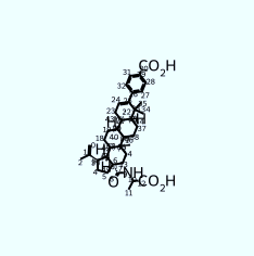 C=C(C)[C@@H]1CC[C@]2(C(=O)NC(C)C(=O)O)CC[C@]3(C)[C@H](CC[C@@H]4[C@@]5(C)CC=C(c6ccc(C(=O)O)cc6)C(C)(C)[C@@H]5CC[C@]43C)[C@@H]12